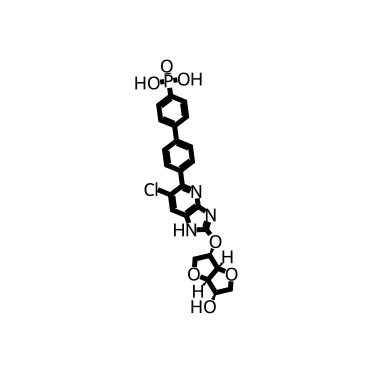 O=P(O)(O)c1ccc(-c2ccc(-c3nc4nc(O[C@@H]5CO[C@H]6[C@@H]5OC[C@H]6O)[nH]c4cc3Cl)cc2)cc1